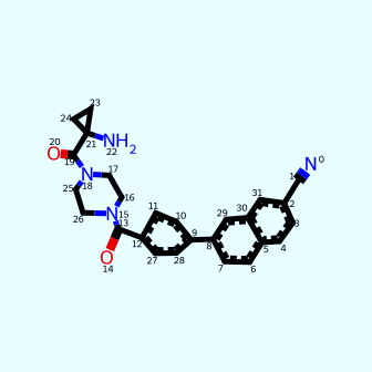 N#Cc1ccc2ccc(-c3ccc(C(=O)N4CCN(C(=O)C5(N)CC5)CC4)cc3)cc2c1